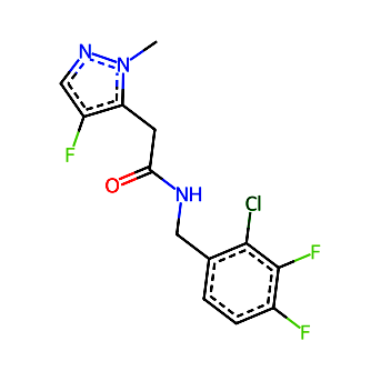 Cn1ncc(F)c1CC(=O)NCc1ccc(F)c(F)c1Cl